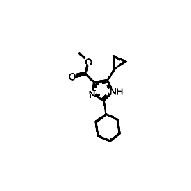 COC(=O)c1nc(C2CCCCC2)[nH]c1C1CC1